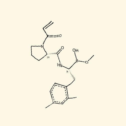 C=CC(=O)N1CCC[C@H]1C(=O)N[C@@H](Cc1ccc(C)cc1C)B(O)OC